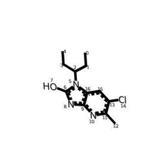 CCC(CC)n1c(O)nc2nc(C)c(Cl)cc21